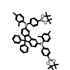 Cc1ccc(N(c2ccc(B3OC(C)(C)C(C)(C)O3)cc2)c2ccc3c(c2)-c2cc(N(c4ccc(B5OC(C)(C)C(C)(C)O5)cc4)c4ccc(C)cc4C)ccc2C3(c2ccccc2)c2ccccc2)c(C)c1